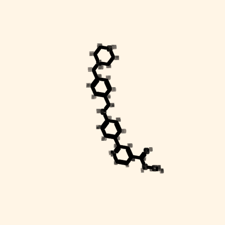 COC(=O)c1ccnc(-c2ccc(OCc3ccc(CN4CCOCC4)cc3)cc2)c1